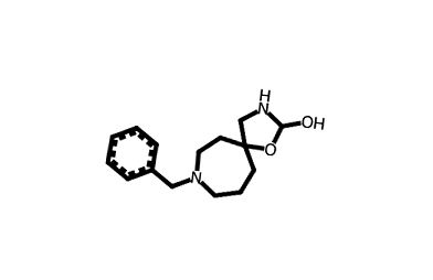 OC1NCC2(CCCN(Cc3ccccc3)CC2)O1